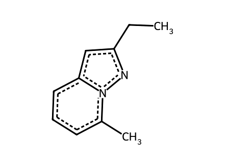 CCc1cc2cccc(C)n2n1